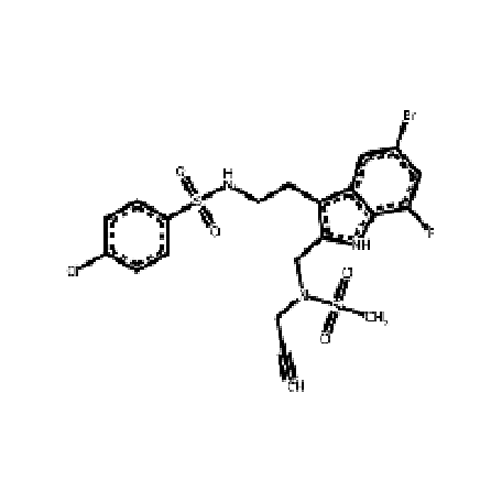 C#CCN(Cc1[nH]c2c(F)cc(Br)cc2c1CCNS(=O)(=O)c1ccc(Cl)cc1)S(C)(=O)=O